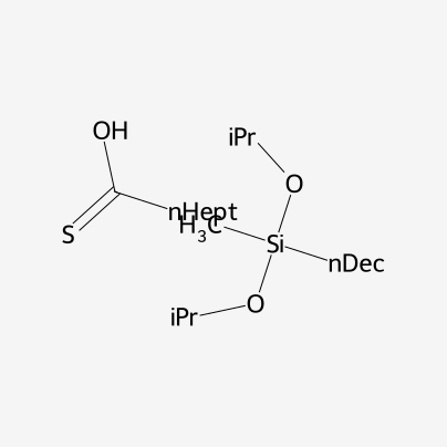 CCCCCCCC(O)=S.CCCCCCCCCC[Si](C)(OC(C)C)OC(C)C